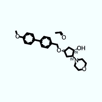 CC=O.COc1ccc(-c2ccc(CO[C@@H]3C[C@H](O)[C@@H](N4CCOCC4)C3)cc2)cc1